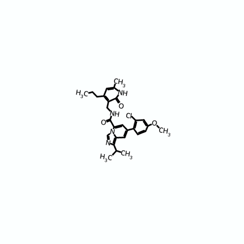 CCCc1cc(C)[nH]c(=O)c1CNC(=O)c1cc(-c2ccc(OC)cc2Cl)cc2c(C(C)C)ncn12